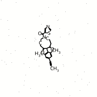 CC#Cc1cc(C)c(C2C(=O)CCCN(C(=O)c3cncs3)CCCC2=O)c(C)c1